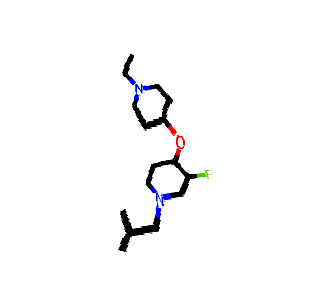 CCN1CCC(OC2CCN(CC(C)C)CC2F)CC1